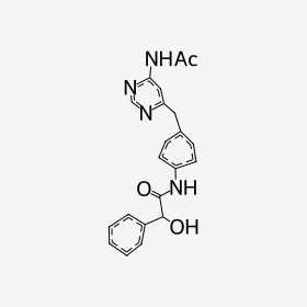 CC(=O)Nc1cc(Cc2ccc(NC(=O)C(O)c3ccccc3)cc2)ncn1